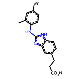 Cc1cc(C(C)C)ccc1Nc1nc2cc(CCC(=O)O)ccc2[nH]1